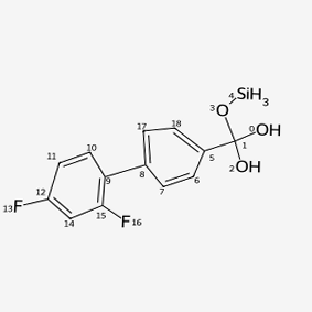 OC(O)(O[SiH3])c1ccc(-c2ccc(F)cc2F)cc1